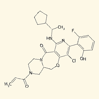 C=CC(=O)N1CCN2C(=O)c3c(NC(C)C4CCCC4)nc(-c4c(O)cccc4F)c(Cl)c3OCC2C1